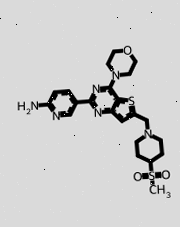 CS(=O)(=O)C1CCN(Cc2cc3nc(-c4ccc(N)nc4)nc(N4CCOCC4)c3s2)CC1